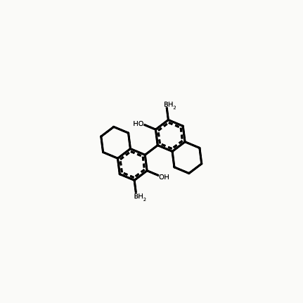 Bc1cc2c(c(-c3c(O)c(B)cc4c3CCCC4)c1O)CCCC2